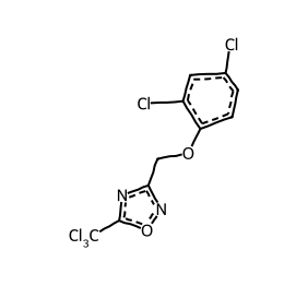 Clc1ccc(OCc2noc(C(Cl)(Cl)Cl)n2)c(Cl)c1